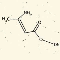 CC(N)=CC(=O)OC(C)(C)C